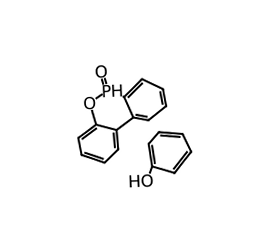 O=[PH]1Oc2ccccc2-c2ccccc21.Oc1ccccc1